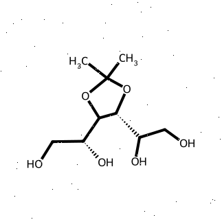 CC1(C)OC([C@H](O)CO)[C@@H](C(O)CO)O1